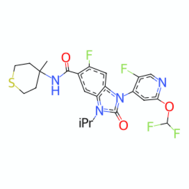 CC(C)n1c(=O)n(-c2cc(OC(F)F)ncc2F)c2cc(F)c(C(=O)NC3(C)CCSCC3)cc21